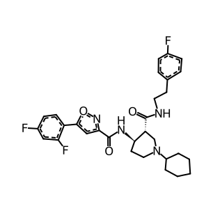 O=C(N[C@@H]1CCN(C2CCCCC2)C[C@H]1C(=O)NCCc1ccc(F)cc1)c1cc(-c2ccc(F)cc2F)on1